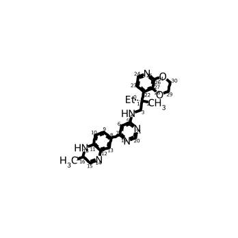 CC[C@](C)(CNc1cc(-c2ccc3c(c2)N=CC(C)N3)ncn1)c1ccnc2c1OCCO2